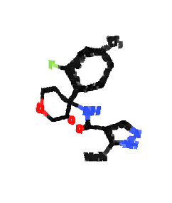 CNc1[nH]ncc1C(=O)NC1(c2ccc(C(F)(F)F)cc2F)CCOCC1=O